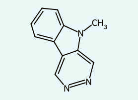 Cn1c2ccccc2c2cnncc21